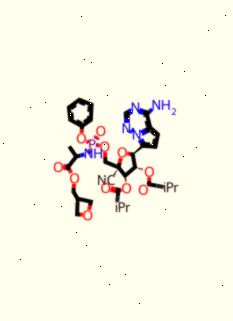 CC(C)C(=O)O[C@H]1[C@H](c2ccc3c(N)ncnn23)O[C@](C#N)(COP(=O)(NC(C)C(=O)OCC2COC2)Oc2ccccc2)[C@H]1OC(=O)C(C)C